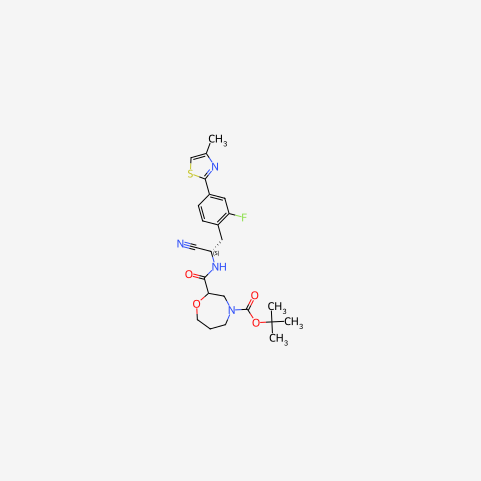 Cc1csc(-c2ccc(C[C@@H](C#N)NC(=O)C3CN(C(=O)OC(C)(C)C)CCCO3)c(F)c2)n1